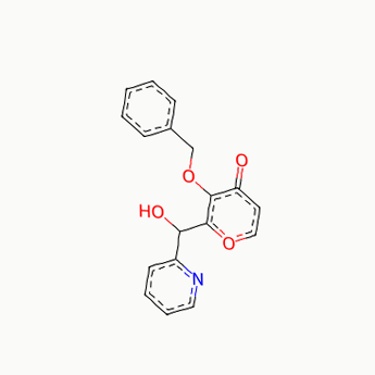 O=c1ccoc(C(O)c2ccccn2)c1OCc1ccccc1